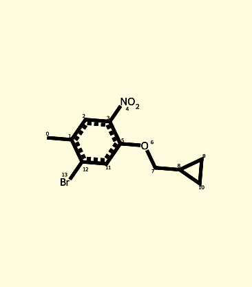 Cc1cc([N+](=O)[O-])c(OCC2CC2)cc1Br